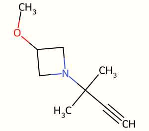 C#CC(C)(C)N1CC(OC)C1